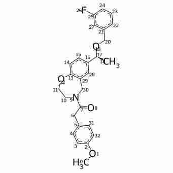 COc1ccc(CC(=O)N2CCOc3ccc([C@H](C)OCc4cccc(F)c4)cc3C2)cc1